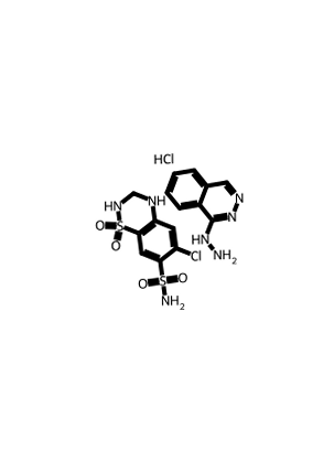 Cl.NNc1nncc2ccccc12.NS(=O)(=O)c1cc2c(cc1Cl)NCNS2(=O)=O